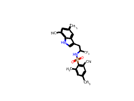 Cc1cc(C)c(S(=O)(=O)NC(Cc2c[nH]c3c(C#N)cc(C)cc23)C(F)(F)F)c(C#N)c1